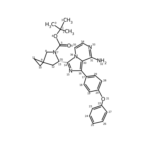 CC(C)(C)OC(=O)N1CC2(CC2)C[C@H]1c1nc(-c2ccc(Oc3ccccc3)cc2)c2c(N)nccn12